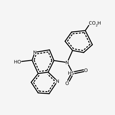 O=C(O)c1ccc(N(c2cnc(O)c3cccnc23)[SH](=O)=O)cc1